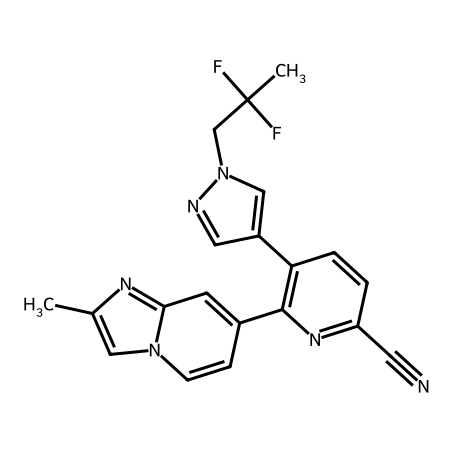 Cc1cn2ccc(-c3nc(C#N)ccc3-c3cnn(CC(C)(F)F)c3)cc2n1